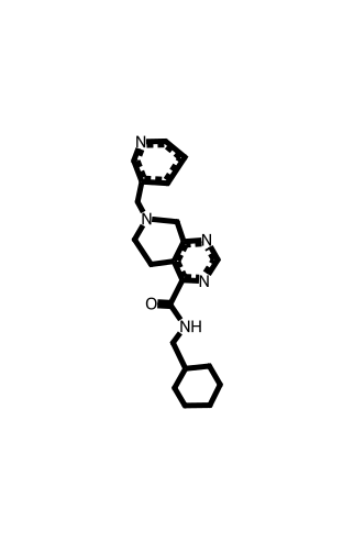 O=C(NCC1CCCCC1)c1ncnc2c1CCN(Cc1cccnc1)C2